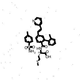 CSCC[C@H](NC(=O)c1ccc(C=Cc2cccnc2)cc1-c1ccccc1C)C(=O)O.Cc1ccc(S(N)(=O)=O)cc1